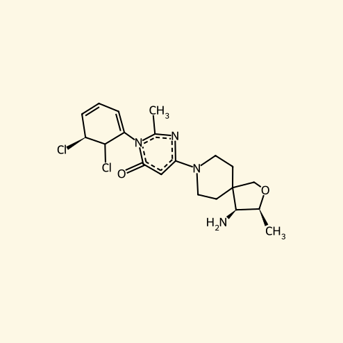 Cc1nc(N2CCC3(CC2)CO[C@@H](C)[C@H]3N)cc(=O)n1C1=CC=C[C@H](Cl)C1Cl